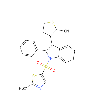 Cc1ncc(S(=O)(=O)n2c(-c3ccccc3)c(C3CCSC3C#N)c3c2=CCCC=3)s1